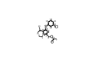 CCn1c(COC(C)=O)nc(Sc2cccc(Cl)c2)c1C(C)C